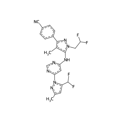 Cc1cc(C(F)F)n(-c2cc(Nc3c(C)c(-c4ccc(C#N)cc4)nn3CC(F)F)ncn2)n1